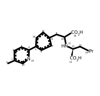 Cc1ccc(-c2ccc(CC(N[C@@H](CC(C)C)C(=O)O)C(=O)O)cc2)nc1